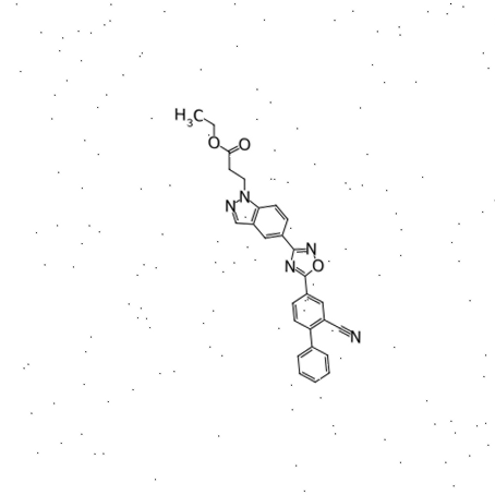 CCOC(=O)CCn1ncc2cc(-c3noc(-c4ccc(-c5ccccc5)c(C#N)c4)n3)ccc21